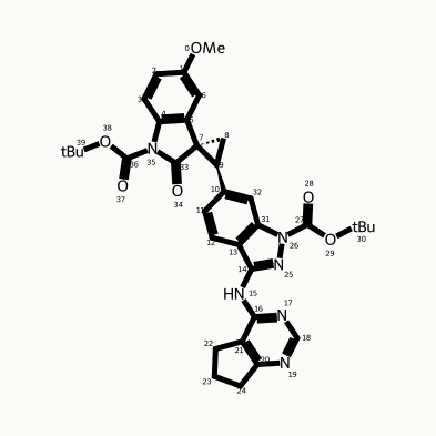 COc1ccc2c(c1)[C@]1(C[C@H]1c1ccc3c(Nc4ncnc5c4CCC5)nn(C(=O)OC(C)(C)C)c3c1)C(=O)N2C(=O)OC(C)(C)C